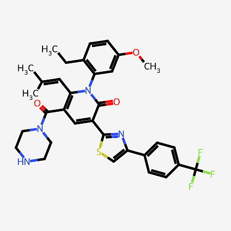 CCc1ccc(OC)cc1-n1c(C=C(C)C)c(C(=O)N2CCNCC2)cc(-c2nc(-c3ccc(C(F)(F)F)cc3)cs2)c1=O